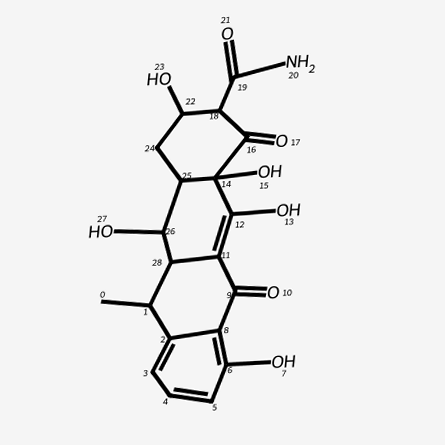 CC1c2cccc(O)c2C(=O)C2=C(O)C3(O)C(=O)C(C(N)=O)C(O)CC3C(O)C21